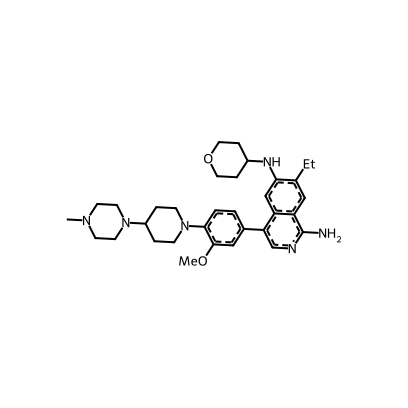 CCc1cc2c(N)ncc(-c3ccc(N4CCC(N5CCN(C)CC5)CC4)c(OC)c3)c2cc1NC1CCOCC1